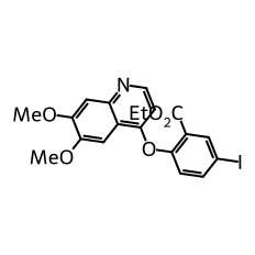 CCOC(=O)c1cc(I)ccc1Oc1ccnc2cc(OC)c(OC)cc12